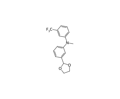 CN(c1cccc(C2OCCO2)c1)c1cccc(C(F)(F)F)c1